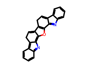 C1=C2C(=Nc3ccccc32)c2oc3c(c2C1)=CCC1=c2ccccc2=NC=31